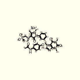 CC(=O)Nc1ccc(O)cc1.Cc1c(N(C)CS(=O)(=O)[O-])c(=O)n(-c2ccccc2)n1C.Cn1c(=O)c2c(ncn2C)n(C)c1=O.[Na+]